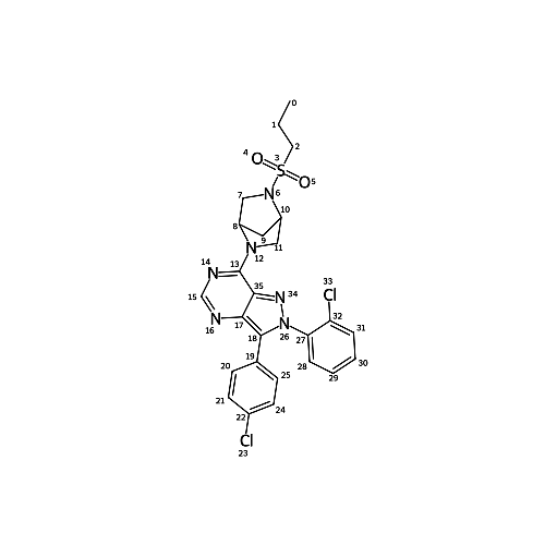 CCCS(=O)(=O)N1CC2CC1CN2c1ncnc2c(-c3ccc(Cl)cc3)n(-c3ccccc3Cl)nc12